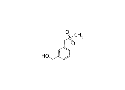 CS(=O)(=O)Cc1cccc(CO)c1